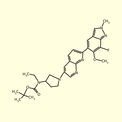 CCN(C(=O)OC(C)(C)C)C1CCN(c2cnc3nc(-c4cc5cn(C)nc5c(F)c4OC)ccc3c2)C1